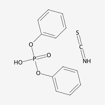 N=C=S.O=P(O)(Oc1ccccc1)Oc1ccccc1